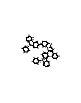 c1ccc(-c2nc3oc4ccc(-c5ccc6c(c5)c5ccccc5n6-c5ccccc5)cc4n3c2-c2ccc3c(c2)c2ccccc2n3-c2ccccc2)cc1